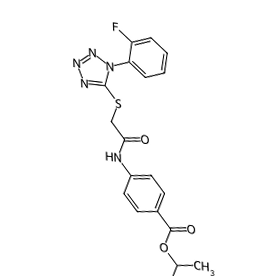 CC(C)OC(=O)c1ccc(NC(=O)CSc2nnnn2-c2ccccc2F)cc1